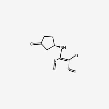 C=N/C(CC)=C(\N=C)N[C@@H]1CCC(=O)C1